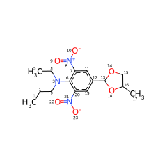 CCCN(CC)c1c([N+](=O)[O-])cc(C2OCC(C)O2)cc1[N+](=O)[O-]